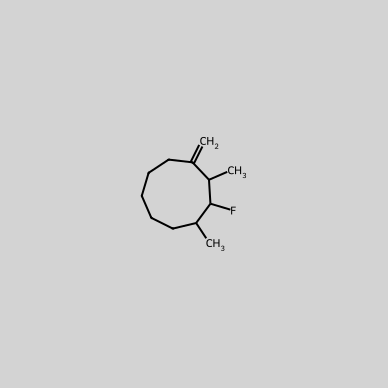 C=C1CCCCCC(C)C(F)C1C